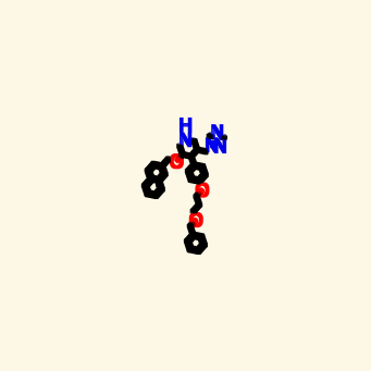 c1ccc(COCCCOc2ccc(C3C(Cn4cncn4)CNCC3OCc3ccc4ccccc4c3)cc2)cc1